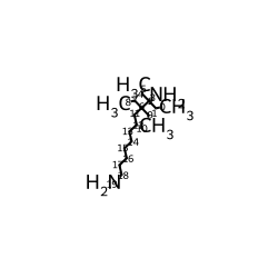 CCC(N)(CC)C(CC)(CC)CCCCCCCCN